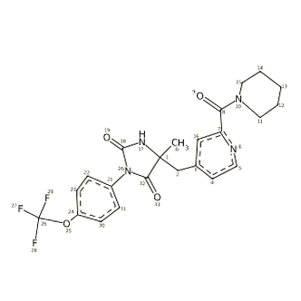 CC1(Cc2ccnc(C(=O)N3CCCCC3)c2)NC(=O)N(c2ccc(OC(F)(F)F)cc2)C1=O